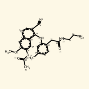 COc1cc2ncc(C#N)c(Nc3cc(C)ccc3CC(=O)NCCN)c2cc1OC(C)=O